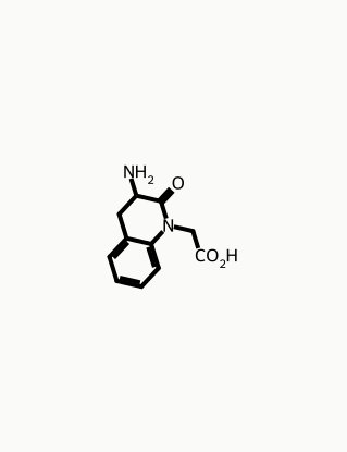 NC1Cc2ccccc2N(CC(=O)O)C1=O